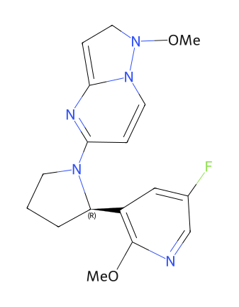 COc1ncc(F)cc1[C@H]1CCCN1C1=NC2=CCN(OC)N2C=C1